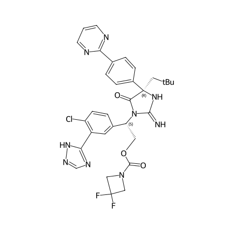 CC(C)(C)C[C@]1(c2ccc(-c3ncccn3)cc2)NC(=N)N([C@H](COC(=O)N2CC(F)(F)C2)c2ccc(Cl)c(-c3ncn[nH]3)c2)C1=O